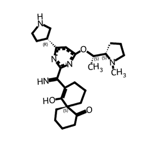 C[C@H](Oc1cc([C@@H]2CCNC2)nc(C(=N)C2=C(O)[C@]3(CCCCC3=O)CCC2)n1)[C@@H]1CCCN1C